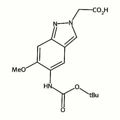 COc1cc2nn(CC(=O)O)cc2cc1NC(=O)OC(C)(C)C